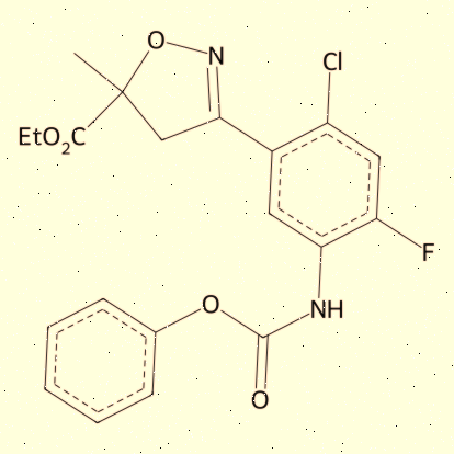 CCOC(=O)C1(C)CC(c2cc(NC(=O)Oc3ccccc3)c(F)cc2Cl)=NO1